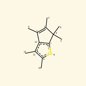 CC1=C(C)C(C)(C)c2sc(C)c(C)c21